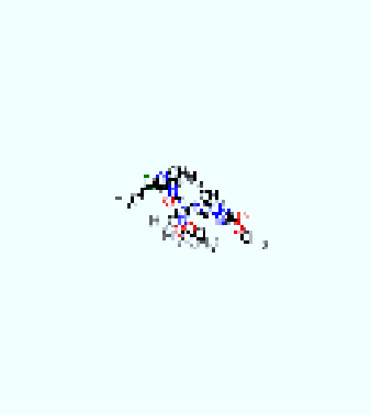 CCCC(F)(F)c1cnc2c(c1)N(C(=O)CN1C[C@@H](C)N(C(=O)OC(C)(C)C)C[C@@H]1CN1CCN(c3ncc(C(=O)OCC)cn3)C[C@H]1C)CC2(C)C